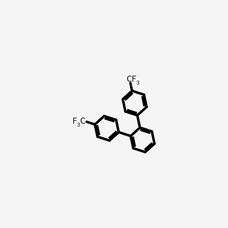 FC(F)(F)c1ccc(-c2ccccc2-c2ccc(C(F)(F)F)cc2)cc1